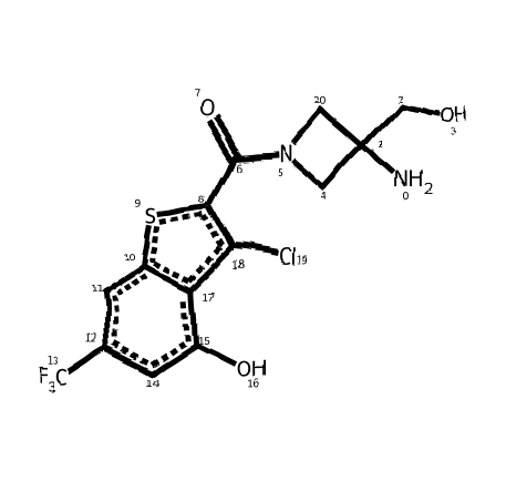 NC1(CO)CN(C(=O)c2sc3cc(C(F)(F)F)cc(O)c3c2Cl)C1